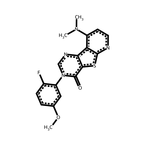 COc1ccc(F)c(-n2cnc3c(sc4nccc(N(C)C)c43)c2=O)c1